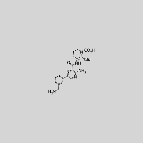 CC(C)(C)C1[C@@H](NC(=O)c2nc(-c3cccc(CN)c3)cnc2N)CCCN1C(=O)O